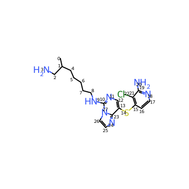 CC(CN)CCCCCNc1ncc(Sc2ccnc(N)c2Cl)c2nccn12